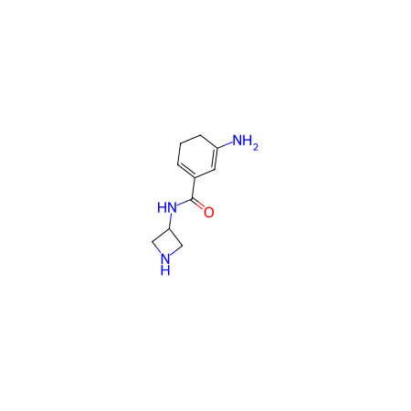 NC1=CC(C(=O)NC2CNC2)=CCC1